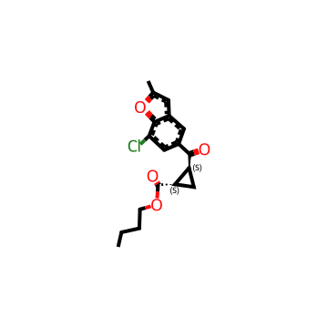 CCCCOC(=O)[C@H]1C[C@@H]1C(=O)c1cc(Cl)c2oc(C)cc2c1